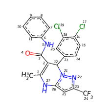 CC1=C(C(=O)Nc2ccccc2)C(c2ccc(Cl)c(Cl)c2)n2nc(C(F)(F)F)cc2N1